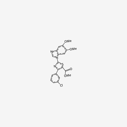 COC(=O)c1sc(-n2cnc3cc(OC)c(OC)cc32)nc1-c1cccc(Cl)c1